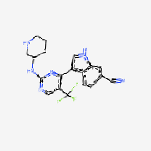 N#Cc1ccc2c(-c3nc(NC4CCCNC4)ncc3C(F)(F)F)c[nH]c2c1